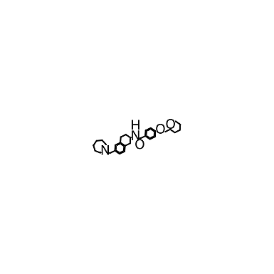 O=C(N[C@H]1CCc2cc(CN3CCCCCC3)ccc2C1)c1ccc(OCC2CCCCO2)cc1